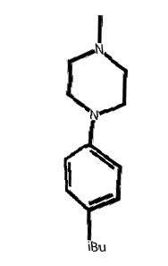 CCC(C)c1ccc(N2CCN(C)CC2)cc1